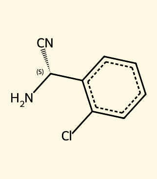 N#C[C@@H](N)c1ccccc1Cl